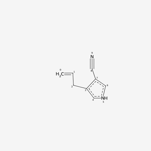 C=CCc1c[nH]cc1C#N